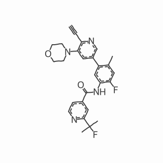 C#Cc1ncc(-c2cc(NC(=O)c3ccnc(C(C)(C)F)c3)c(F)cc2C)cc1N1CCOCC1